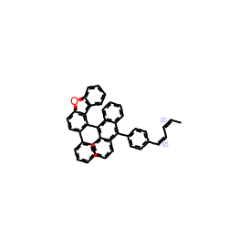 C/C=C\C=C/c1ccc(-c2c3ccccc3c(-c3c(-c4ccccc4)ccc4oc5ccccc5c34)c3ccccc23)cc1